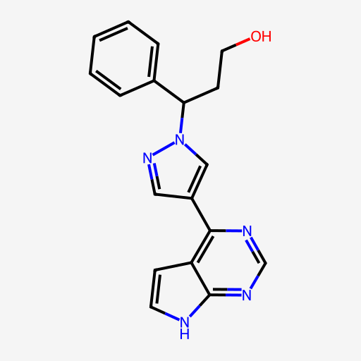 OCCC(c1ccccc1)n1cc(-c2ncnc3[nH]ccc23)cn1